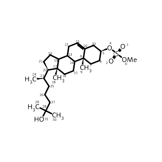 COS(=O)(=O)O[C@H]1CC[C@@]2(C)C(=CCC3C2CC[C@@]2(C)C3CC[C@@H]2[C@H](C)CCCC(C)(C)O)C1